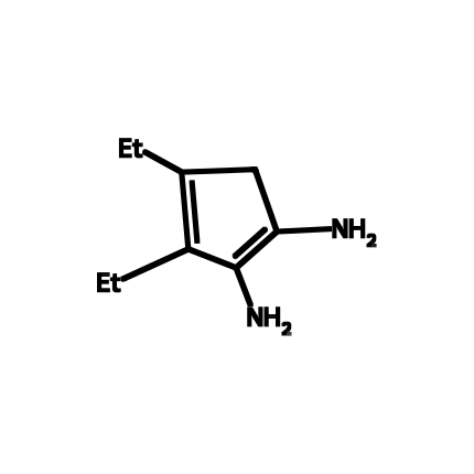 CCC1=C(CC)C(N)=C(N)C1